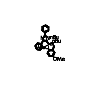 CCCCN(Cc1cc(OC)ccc1OC)Cc1c(-c2ccccc2)nc(-c2ccccc2)n1CCCC